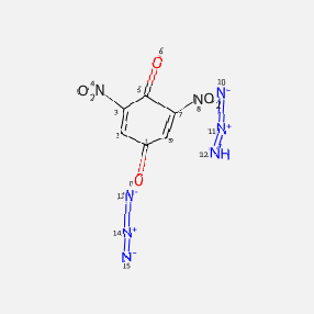 O=C1C=C([N+](=O)[O-])C(=O)C([N+](=O)[O-])=C1.[N-]=[N+]=N.[N-]=[N+]=[N-]